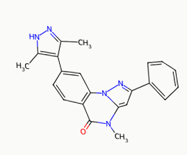 Cc1n[nH]c(C)c1-c1ccc2c(=O)n(C)c3cc(-c4ccccc4)nn3c2c1